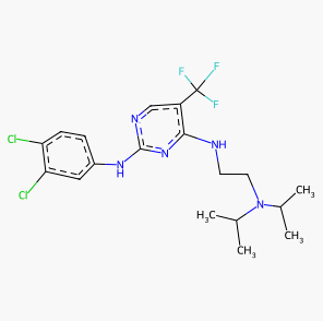 CC(C)N(CCNc1nc(Nc2ccc(Cl)c(Cl)c2)ncc1C(F)(F)F)C(C)C